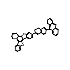 C1=C(c2ccc3c(c2)sc2c4ccccc4c4c5ccccc5sc4c32)CCc2cc(-c3c4ccccc4cc4ccccc34)ccc21